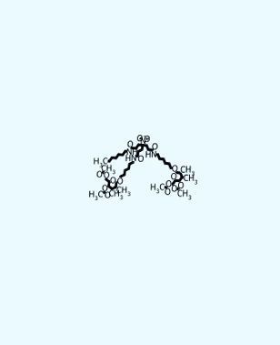 CCCCCCCNC(=O)CCC(CCC(=O)NCCCCCCOC1OC(COC(C)=O)C(OC(C)=O)C(C)C1C)(CCC(=O)NCCCCCCOC1OC(COC(C)=O)C(OC(C)=O)C(C)C1C)[N+](=O)[O-]